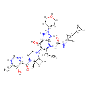 CCc1c(N2CCN(C(=O)c3ncnc(C)c3O)[C@H]3CC[C@@H]32)c(=O)c2nn(C3=CCOCC3)nc2n1CC(=O)NC12CC(C3CC3)(C1)C2